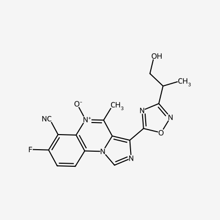 Cc1c2c(-c3nc(C(C)CO)no3)ncn2c2ccc(F)c(C#N)c2[n+]1[O-]